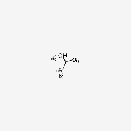 CCCC(O)O.[B].[B]